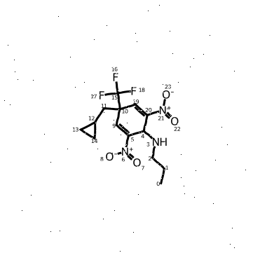 CCCNC1C([N+](=O)[O-])=CC(CC2CC2)(C(F)(F)F)C=C1[N+](=O)[O-]